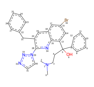 CN(C)CCC(O)(c1ccccc1)c1cc(Br)cc2cc(Cc3ccccc3)c(-n3ccnn3)nc12